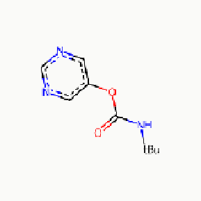 CC(C)(C)NC(=O)Oc1cncnc1